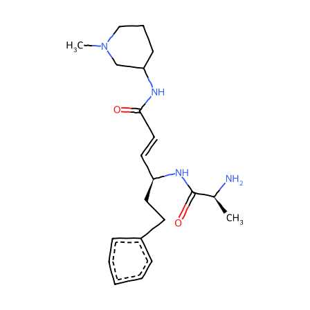 C[C@H](N)C(=O)N[C@H](/C=C/C(=O)NC1CCCN(C)C1)CCc1ccccc1